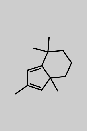 CC1=CC2(C)CCCC(C)(C)C2=C1